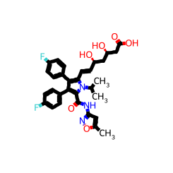 Cc1cc(NC(=O)c2c(-c3ccc(F)cc3)c(-c3ccc(F)cc3)c(C=C[C@@H](O)C[C@@H](O)CC(=O)O)n2C(C)C)no1